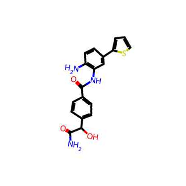 NC(=O)C(O)c1ccc(C(=O)Nc2cc(-c3cccs3)ccc2N)cc1